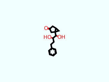 O=C1CC2CC2(C(O)C(O)CCc2ccccc2)C1